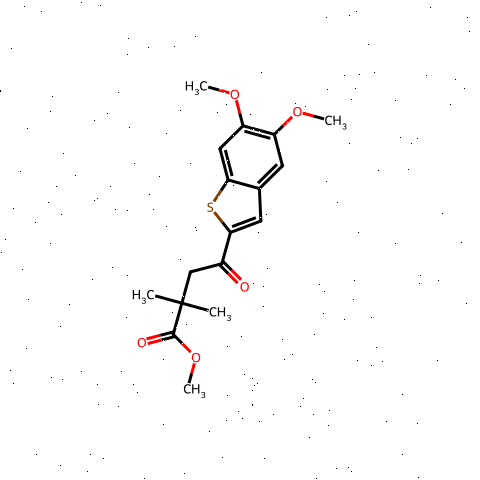 COC(=O)C(C)(C)CC(=O)c1cc2cc(OC)c(OC)cc2s1